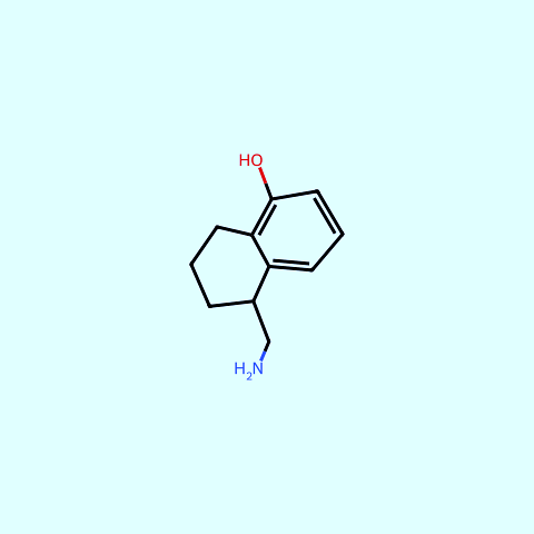 NCC1CCCc2c(O)cccc21